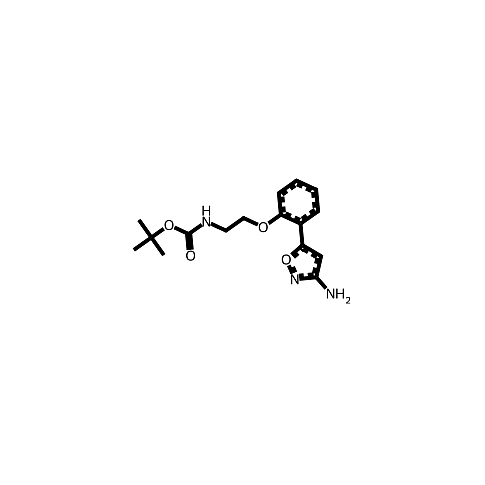 CC(C)(C)OC(=O)NCCOc1ccccc1-c1cc(N)no1